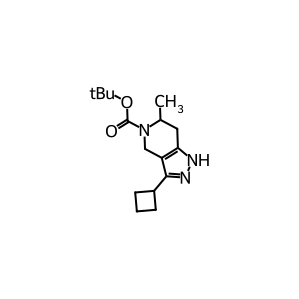 CC1Cc2[nH]nc(C3CCC3)c2CN1C(=O)OC(C)(C)C